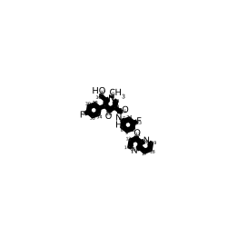 Cn1cc(C(=O)Nc2ccc(Oc3ccnc4cccnc34)c(F)c2)c(=O)c(-c2ccc(F)cc2)c1CO